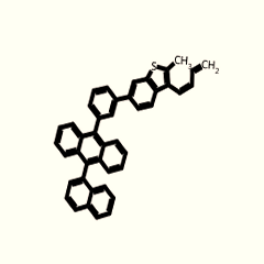 C=C/C=C\c1c(C)sc2cc(-c3cccc(-c4c5ccccc5c(-c5cccc6ccccc56)c5ccccc45)c3)ccc12